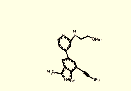 COCCNc1cc(-c2cc(C#CC(C)(C)C)c3[nH]nc(N)c3c2)ccn1